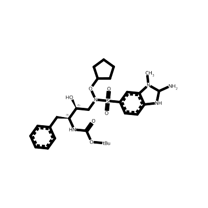 CN1c2cc(S(=O)(=O)N(C[C@H](O)[C@H](Cc3ccccc3)NC(=O)OC(C)(C)C)OC3CCCC3)ccc2NC1N